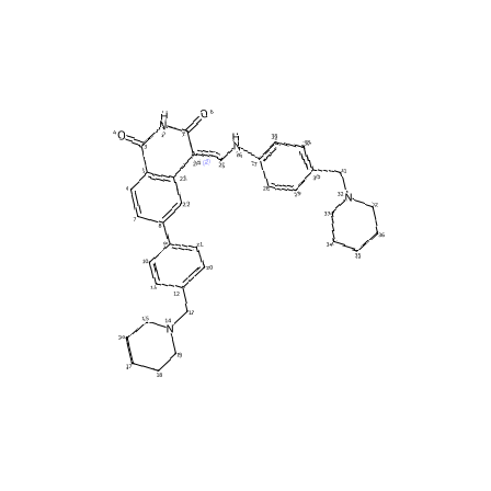 O=C1NC(=O)c2ccc(-c3ccc(CN4CCCCC4)cc3)cc2/C1=C/Nc1ccc(CN2CCCCC2)cc1